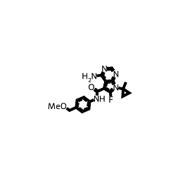 COCc1ccc(NC(=O)c2c(F)n(C3(C)CC3)c3ncnc(N)c23)cc1